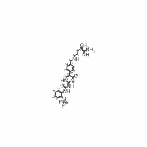 CN(CCCNCc1ccc(-c2c[nH]c(NC(=O)Nc3ccccc3OC(F)(F)F)nc2=O)cc1)C(=N)N